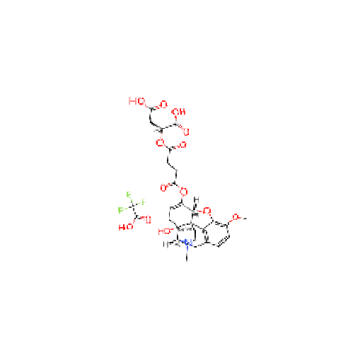 COc1ccc2c3c1O[C@H]1C(OC(=O)CCC(=O)O[C@@H](CC(=O)O)C(=O)O)=CC[C@@]4(O)[C@@H](C2)N(C)CC[C@]314.O=C(O)C(F)(F)F